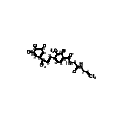 C=CCNC(=O)CNC(=O)C1=CC=C(/C=C/C(c2cc(Cl)c(Cl)c(Cl)c2)C(F)(F)F)C(C)C1Br